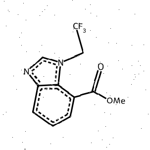 COC(=O)c1cccc2ncn(CC(F)(F)F)c12